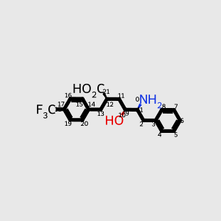 N[C@@H](Cc1ccccc1)[C@@H](O)C[C@@H](Cc1ccc(C(F)(F)F)cc1)C(=O)O